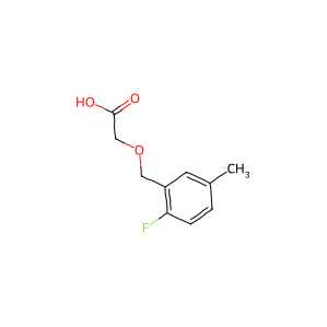 Cc1ccc(F)c(COCC(=O)O)c1